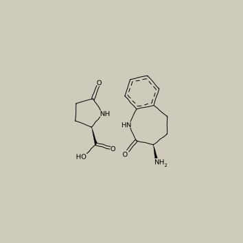 N[C@@H]1CCc2ccccc2NC1=O.O=C1CC[C@H](C(=O)O)N1